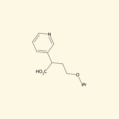 CC(C)OCCC(C(=O)O)c1cccnc1